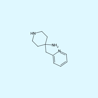 NC1(Cc2ccccn2)CCNCC1